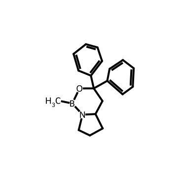 CB1OC(c2ccccc2)(c2ccccc2)CC2CCCN12